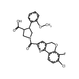 COc1ccccc1C1CN(C(=O)c2cc3c(s2)-c2ccc(Cl)c(F)c2OC3)CC1C(=O)O